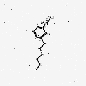 CCCCCCc1ccc[c]([Mg][Cl])c1